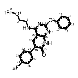 CCCOCCNc1nc(Oc2ccccc2)nc2[nH]c(=O)c(-c3ccc(F)cc3)cc12